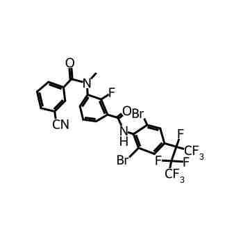 CN(C(=O)c1cccc(C#N)c1)c1cccc(C(=O)Nc2c(Br)cc(C(F)(C(F)(F)F)C(F)(F)C(F)(F)F)cc2Br)c1F